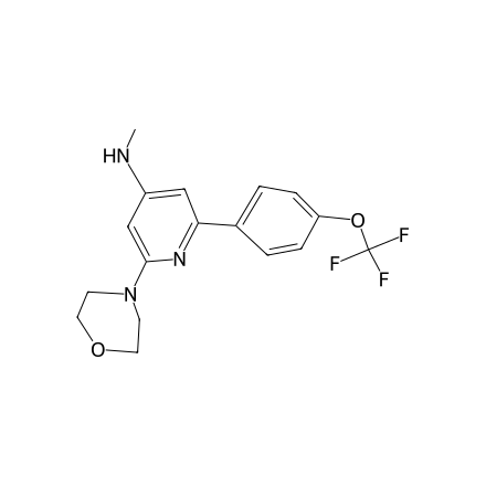 CNc1cc(-c2ccc(OC(F)(F)F)cc2)nc(N2CCOCC2)c1